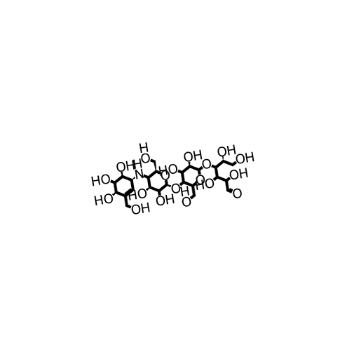 O=CC(O)C(O)C(OC1OC(CO)C(O[C@@H]2O[C@H](CO)C(N[C@@H]3C=C(CO)[C@@H](O)C(O)[C@H]3O)[C@H](O)C2O)C(O)[C@H]1O)[C@H](O)CO